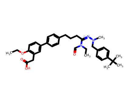 CCOc1ccc(-c2ccc(CCC/C(=N/N(C)Cc3ccc(C(C)(C)C)cc3)N(C=O)CC)cc2)cc1CC(=O)O